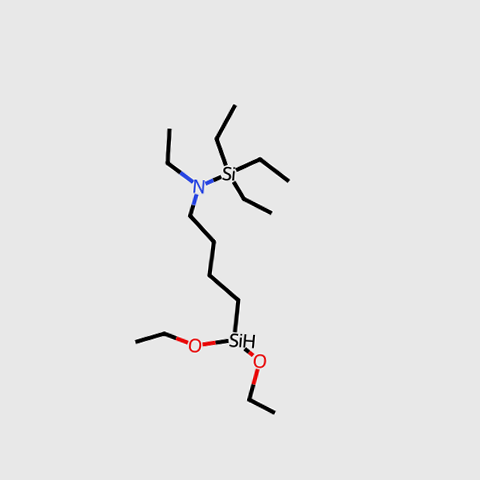 CCO[SiH](CCCCN(CC)[Si](CC)(CC)CC)OCC